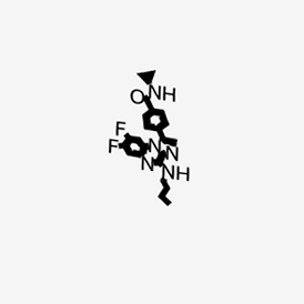 CCCCNc1nc2cc(F)c(F)cc2n2c(-c3ccc(C(=O)NC4CC4)cc3)cnc12